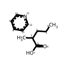 CCCC(C)C(=O)O.c1ccncc1